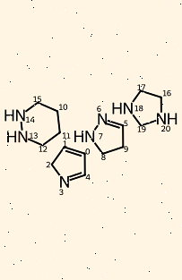 C1=CCN=C1.C1=NNCC1.C1CCNNC1.C1CNCN1